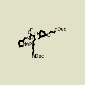 CCCCCCCCCCCCCCCCC(Oc1ccc(OCCCCCCCCCCCC)cc1C)C(=O)NCc1cccc[n+]1CCC.[I-]